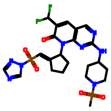 CS(=O)(=O)N1CCC(Nc2ncc3cc(C(F)F)c(=O)n(C4CCC/C4=C\S(=O)(=O)n4cncn4)c3n2)CC1